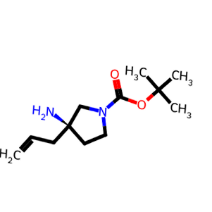 C=CC[C@@]1(N)CCN(C(=O)OC(C)(C)C)C1